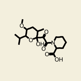 COC1CC(C)C(O)(C(=O)C(=O)N2CCCCC2C(=O)O)OC1C(C)C